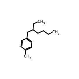 CCCCC(CC)Cc1[c]cc(C)[c]c1